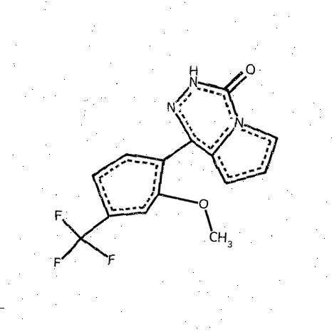 COc1cc(C(F)(F)F)ccc1-c1n[nH]c(=O)n2cccc12